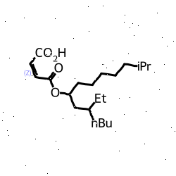 CCCCC(CC)CC(CCCCCC(C)C)OC(=O)/C=C\C(=O)O